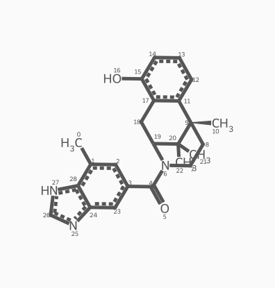 Cc1cc(C(=O)N2CC[C@@]3(C)c4cccc(O)c4CC2C3(C)C)cc2nc[nH]c12